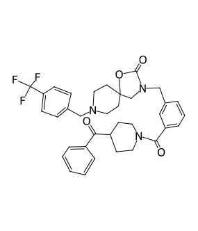 O=C(c1ccccc1)C1CCN(C(=O)c2cccc(CN3CC4(CCN(Cc5ccc(C(F)(F)F)cc5)CC4)OC3=O)c2)CC1